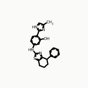 Cc1c[nH]c(-c2ccc(Nc3nc4c(s3)CCCC4c3ccccc3)cc2O)n1